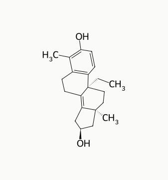 CC[C@]12CC[C@@]3(C)C[C@@H](O)CC3=C1CCc1c2ccc(O)c1C